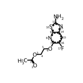 CC(=O)OCCOc1nc2sc(N)nc2cc1F